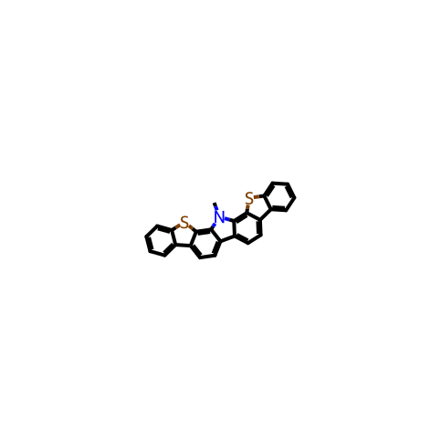 Cn1c2c(ccc3c4ccccc4sc32)c2ccc3c4ccccc4sc3c21